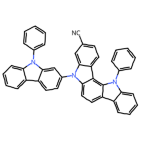 N#Cc1ccc2c3c(ccc4c5ccccc5n(-c5ccccc5)c43)n(-c3ccc4c5ccccc5n(-c5ccccc5)c4c3)c2c1